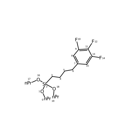 CCCO[Si](CCCCc1cc(F)c(F)c(F)c1)(OCCC)OCCC